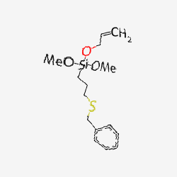 C=CCO[Si](CCCSCc1ccccc1)(OC)OC